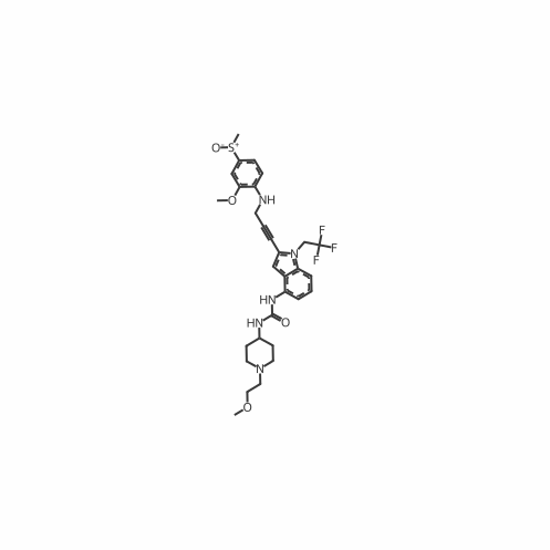 COCCN1CCC(NC(=O)Nc2cccc3c2cc(C#CCNc2ccc([S+](C)[O-])cc2OC)n3CC(F)(F)F)CC1